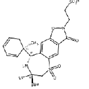 CCCC[C@]1(CC)CS(=O)(=O)c2cc3c(=O)n(CCS(=O)(=O)O)oc3cc2[C@@H]([C@@]2(C)C=CC=CC2)N1